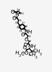 COC(=O)C(NC(=O)COCC(=O)Nc1ccc(CCC(=O)N2CCC2=O)cc1)C(C)C